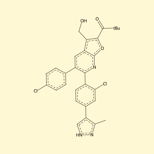 Cc1n[nH]cc1-c1ccc(-c2nc3oc(C(=O)C(C)(C)C)c(CO)c3cc2-c2ccc(Cl)cc2)c(Cl)c1